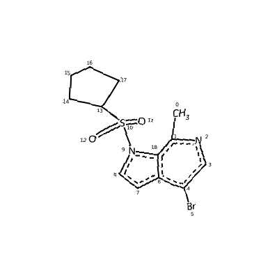 Cc1ncc(Br)c2ccn(S(=O)(=O)C3CCCC3)c12